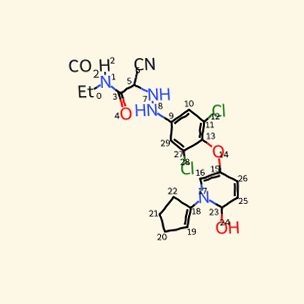 CCN(C(=O)O)C(=O)C(C#N)NNc1cc(Cl)c(OC2=CN(C3=CCCC3)C(O)C=C2)c(Cl)c1